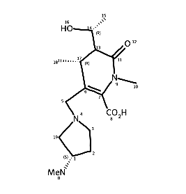 CN[C@H]1CCN(CC2=C(C(=O)O)N(C)C(=O)C([C@@H](C)O)[C@H]2C)C1